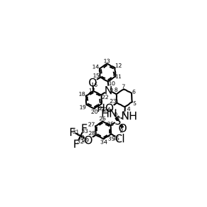 N=S(=O)(NC1CCCC(N2c3ccccc3Oc3ccccc32)C1O)c1ccc(OC(F)(F)F)cc1Cl